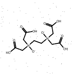 O=C(O)C[N+]([O-])(CC[N+]([O-])(CC(=O)O)CC(=O)O)CC(=O)O